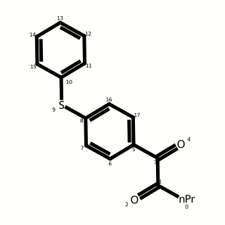 CCCC(=O)C(=O)c1ccc(Sc2ccccc2)cc1